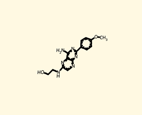 COc1ccc(-c2nc(N)c3nc(NCCO)cnc3n2)cc1